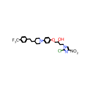 O=[N+]([O-])c1cn(CCC(O)COc2ccc(N3CCC(CCc4ccc(C(F)(F)F)cc4)CC3)cc2)c(Cl)n1